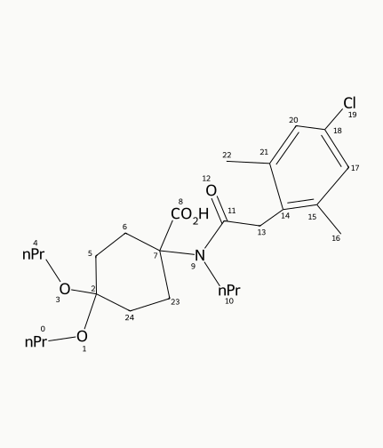 CCCOC1(OCCC)CCC(C(=O)O)(N(CCC)C(=O)Cc2c(C)cc(Cl)cc2C)CC1